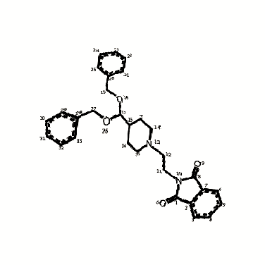 O=C1c2ccccc2C(=O)N1CCN1CCC(C(OCc2ccccc2)OCc2ccccc2)CC1